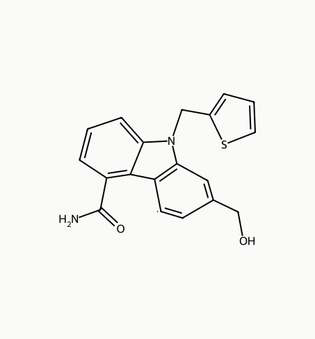 NC(=O)c1cccc2c1c1[c]cc(CO)cc1n2Cc1cccs1